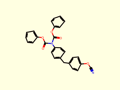 N#COc1ccc(Cc2ccc(N(C(=O)Oc3ccccc3)C(=O)Oc3ccccc3)cc2)cc1